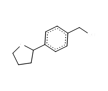 OCc1ccc(C2CCCO2)cc1